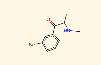 CNC(C)C(=O)c1cccc(Br)c1